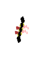 Bc1c(-c2sc3c(B)c(-c4sc5cc(-c6ccc7cc(C)ccc7c6)sc5c4Br)sc3c2Br)sc2cc(-c3ccc4cc(C)ccc4c3)sc12